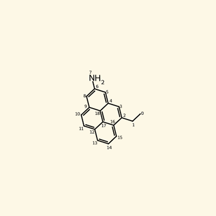 CCc1cc2cc(N)cc3ccc4cccc1c4c32